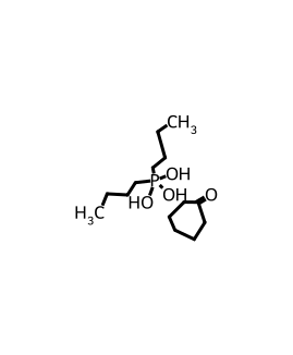 CCCCP(O)(O)(O)CCCC.O=C1CCCCC1